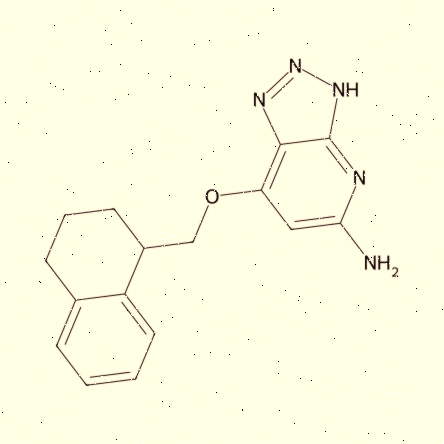 Nc1cc(OCC2CCCc3ccccc32)c2nn[nH]c2n1